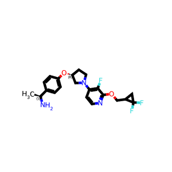 C[C@H](N)c1ccc(O[C@@H]2CCN(c3ccnc(OCC4CC4(F)F)c3F)C2)cc1